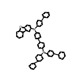 c1ccc(-c2ccc(N(c3ccc(-c4ccccc4)cc3)c3ccc(-c4ccc(N(c5ccc(-c6ccccc6)cc5)c5ccc6oc7ccccc7c6c5)cc4)cc3)cc2)cc1